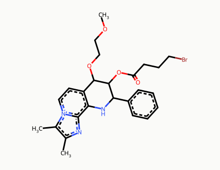 COCCOC1c2ccn3c(C)c(C)nc3c2NC(c2ccccc2)C1OC(=O)CCCBr